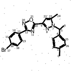 Cc1ccc(C(C)n2nc(-c3nc(-c4ccc(Br)cc4)no3)cc2C)cc1